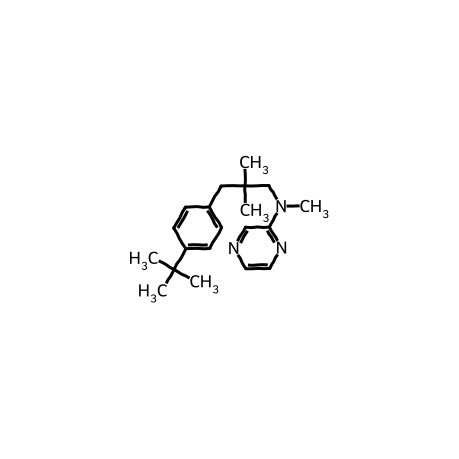 CN(CC(C)(C)Cc1ccc(C(C)(C)C)cc1)c1cnccn1